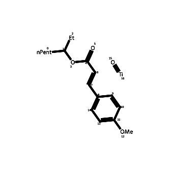 CCCCCC(CC)OC(=O)C=Cc1ccc(OC)cc1.[O]=[Ti]